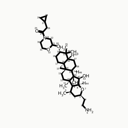 C[C@@H]1C[C@H](CCN)O[C@H]2C1[C@@]1(C)CC[C@@]34C[C@@]35CC[C@H](OC3CN(C(=O)CC6CC6)CCO3)C(C)(C)[C@@H]5CC[C@H]4[C@]1(C)[C@H]2O